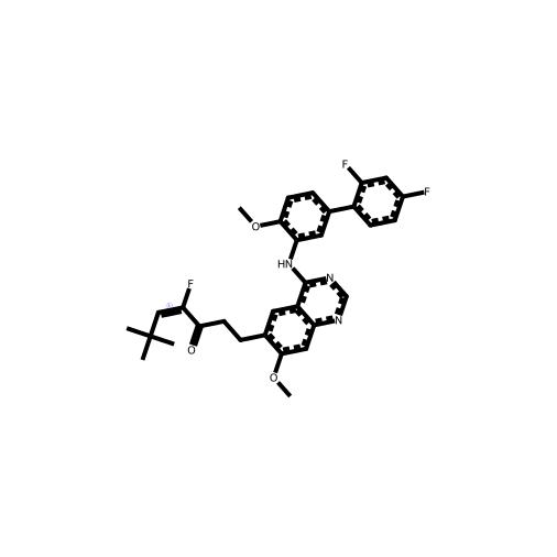 COc1cc2ncnc(Nc3cc(-c4ccc(F)cc4F)ccc3OC)c2cc1CCC(=O)/C(F)=C\C(C)(C)C